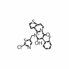 O=c1c(-c2ccccc2F)c(O)[n+](Cc2cnc(Cl)s2)c2c3ccsc3ccn12